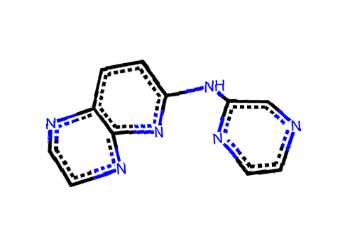 c1cnc(Nc2ccc3nccnc3n2)cn1